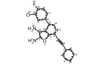 Nc1oc2c(C#Cc3ccccc3)ncc(-c3ccc(F)c(Cl)c3)c2c1N